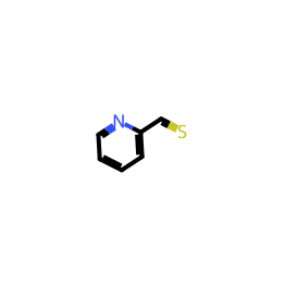 S=Cc1ccccn1